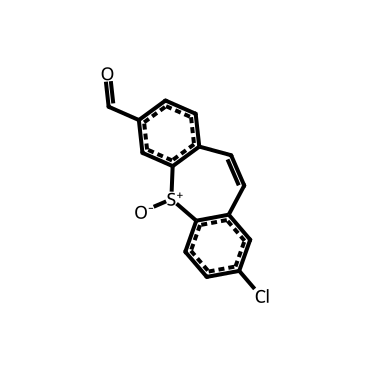 O=Cc1ccc2c(c1)[S+]([O-])c1ccc(Cl)cc1C=C2